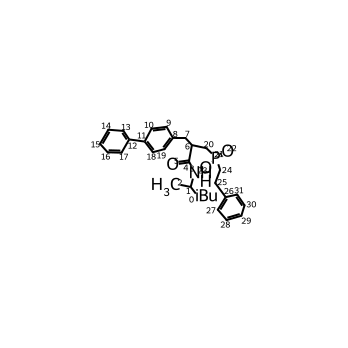 CCC(C)C(C)NC(=O)C(Cc1ccc(-c2ccccc2)cc1)CP(=O)(O)CCc1ccccc1